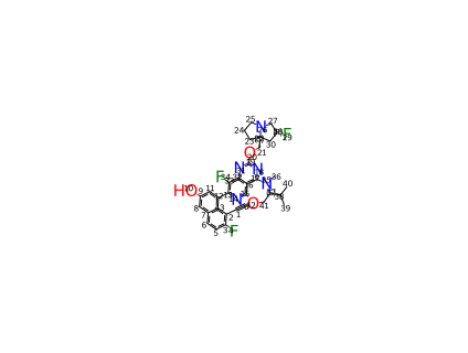 C#Cc1c(F)ccc2cc(O)cc(-c3nc4c5c(nc(OC[C@@]67CCCN6C[C@H](F)C7)nc5c3F)N(C)[C@@H](C(C)C)CO4)c12